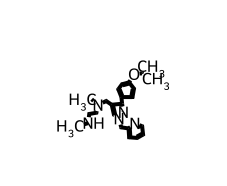 CNCCN(C)Cc1cn(Cc2ccccn2)nc1-c1ccc(OC(C)C)cc1